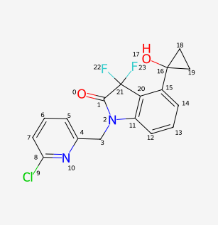 O=C1N(Cc2cccc(Cl)n2)c2cccc(C3(O)CC3)c2C1(F)F